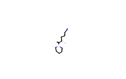 NCCCC[C@H](N)C(=S)N1CCCCC1